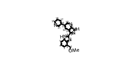 COCc1cccc2[nH]c(-c3n[nH]c4ncc(-c5cccnc5)cc34)nc12